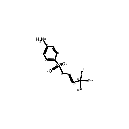 Nc1ccc(S(=O)(=O)CC=CC(F)(F)F)cc1